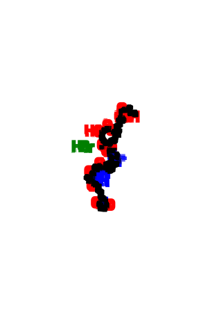 Br.CCC(O)C(C)[C@@H]1O[C@H]1CC(C)(O)/C=C/C=C(\C)[C@H]1OC(=O)C[C@H](O)CC[C@@](C)(OC)[C@@H](OC(=O)N2CC[N+](C)(Cc3ccc(NC(=O)C(C)NC(=O)C(NC(=O)CCCCCN4C(=O)C=CC4=O)C(C)C)cc3)CC2)/C=C/[C@@H]1C